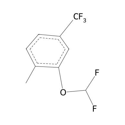 Cc1ccc(C(F)(F)F)cc1OC(F)F